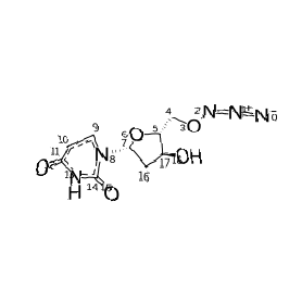 [N-]=[N+]=NOC[C@H]1O[C@@H](n2ccc(=O)[nH]c2=O)C[C@@H]1O